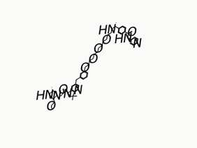 COC[C@H]1CN[C@H](C)CN1CC(=O)N1CC(C)(C)c2ncc(Cc3cccc(OCCOCCOCCOCCN[C@H](C)c4ccc(C(=O)Nc5ccncc5)cc4)c3)cc21